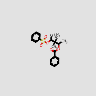 CC(OC(=O)c1ccccc1)C(C)(C)C(C)OS(=O)(=O)c1ccccc1